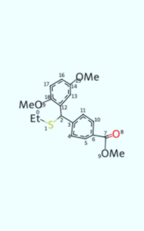 CCSC(c1ccc(C(=O)OC)cc1)c1cc(OC)ccc1OC